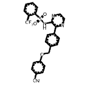 N#Cc1ccc(OCc2ccc(-c3nccnc3NS(=O)(=O)c3ccccc3C(F)(F)F)cc2)cc1